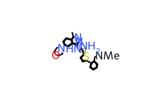 CNCc1ccccc1-c1ccc([C@@H](N)Nc2nnc(C)c3ccc(N4CCOCC4)cc23)s1